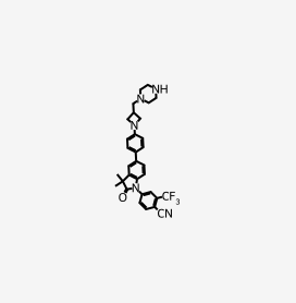 CC1(C)C(=O)N(c2ccc(C#N)c(C(F)(F)F)c2)c2ccc(-c3ccc(N4CC(CN5CCNCC5)C4)cc3)cc21